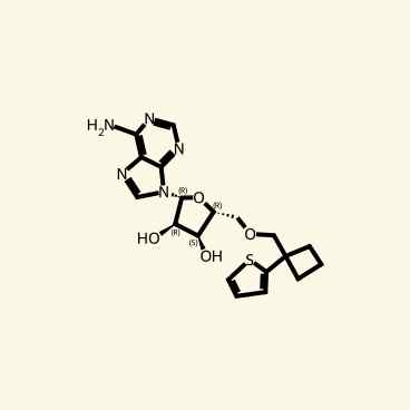 Nc1ncnc2c1ncn2[C@@H]1O[C@H](COCC2(c3cccs3)CCC2)[C@@H](O)[C@H]1O